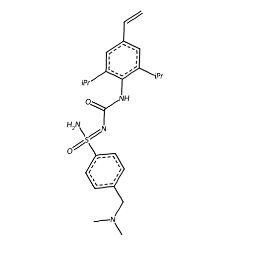 C=Cc1cc(C(C)C)c(NC(=O)N=S(N)(=O)c2ccc(CN(C)C)cc2)c(C(C)C)c1